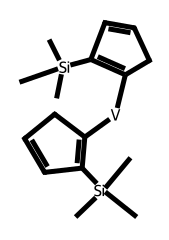 C[Si](C)(C)C1=[C]([V][C]2=C([Si](C)(C)C)C=CC2)CC=C1